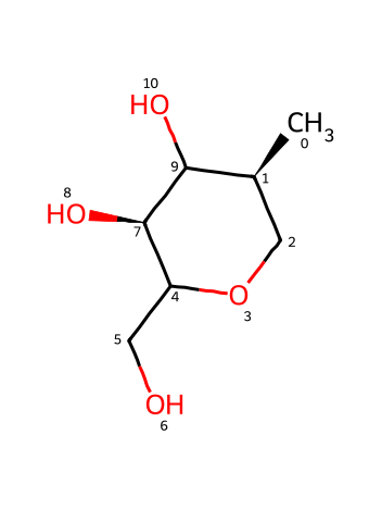 C[C@H]1COC(CO)[C@@H](O)C1O